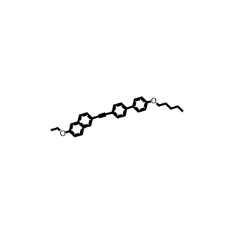 CCCCCOc1ccc(-c2ccc(C#Cc3ccc4cc(OCC)ccc4c3)cc2)cc1